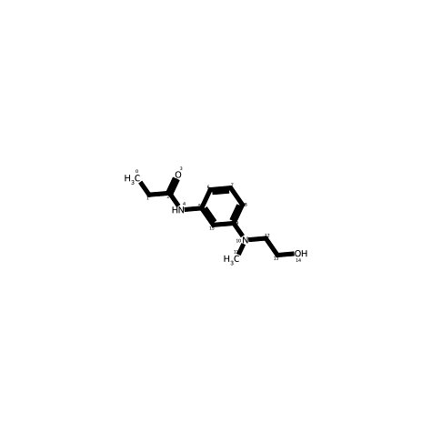 CCC(=O)Nc1cccc(N(C)CCO)c1